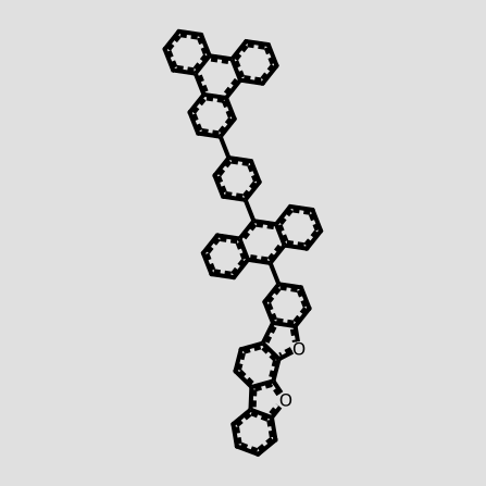 c1ccc2c(c1)oc1c2ccc2c3cc(-c4c5ccccc5c(-c5ccc(-c6ccc7c8ccccc8c8ccccc8c7c6)cc5)c5ccccc45)ccc3oc21